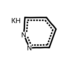 [KH].c1ccnnc1